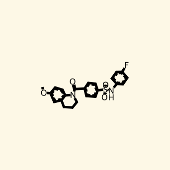 COc1ccc2c(c1)CCCN2C(=O)c1ccc(S(=O)(=O)Nc2ccc(F)cc2)cc1